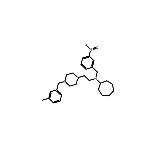 Cc1cccc(CN2CCN(CCN(Cc3cccc([N+](=O)[O-])c3)C3CCCCCC3)CC2)c1